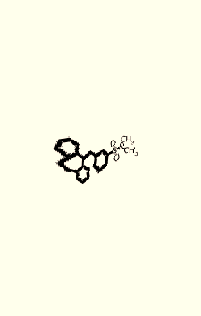 CN(C)S(=O)(=O)c1cccc(C=C2c3ccccc3CCc3ccccc32)c1